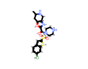 CC1Cc2oc(C(=O)[N+]3(S(=O)(=O)c4cc5ccc(Cl)cc5s4)CCNCC3)nc2CN1